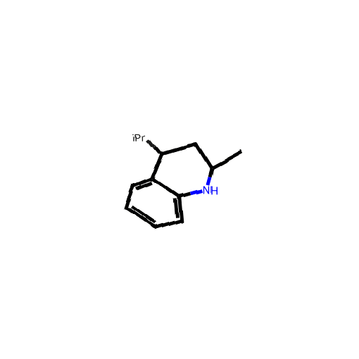 CC1CC(C(C)C)c2ccccc2N1